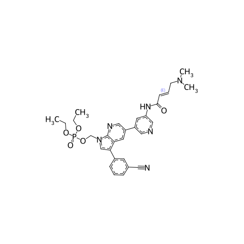 CCOP(=O)(OCC)OCn1cc(-c2cccc(C#N)c2)c2cc(-c3cncc(NC(=O)/C=C/CN(C)C)c3)cnc21